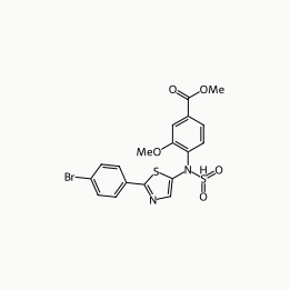 COC(=O)c1ccc(N(c2cnc(-c3ccc(Br)cc3)s2)[SH](=O)=O)c(OC)c1